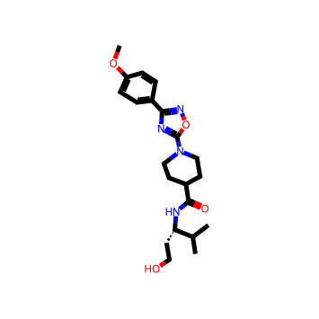 COc1ccc(-c2noc(N3CCC(C(=O)N[C@@H](CCO)C(C)C)CC3)n2)cc1